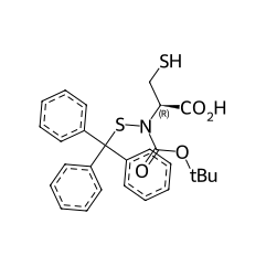 CC(C)(C)OC(=O)N(SC(c1ccccc1)(c1ccccc1)c1ccccc1)[C@@H](CS)C(=O)O